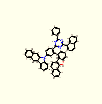 c1ccc(-c2nc(-c3ccc(-n4c5ccccc5c5cc6ccccc6cc54)cc3-c3cccc4oc5c6ccccc6ccc5c34)nc(-c3cccc4ccccc34)n2)cc1